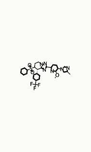 COc1nc(-c2nc3n(n2)CCC(S(=O)(=O)c2ccccc2)[C@H]3c2ccc(C(F)(F)F)cc2)ccc1-n1cnc(C)c1